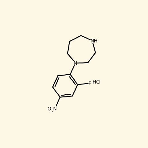 Cl.O=[N+]([O-])c1ccc(N2CCCNCC2)c(F)c1